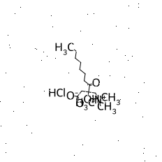 CCCCCCCC(=O)C(O)(CC(=O)[O-])C[N+](C)(C)C.Cl